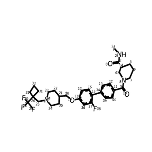 O=C(NI)[C@@H]1CCCN(C(=O)c2ccc(-c3ccc(OCC4CCN(CC5(C(F)(F)F)CCC5)CC4)cc3F)cc2)C1